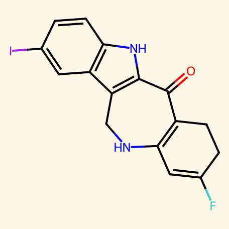 O=C1C2=C(C=C(F)CC2)NCc2c1[nH]c1ccc(I)cc21